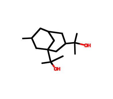 CC1CC2CC(C(C)(C)O)CC(C(C)(C)O)(C1)C2